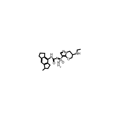 CCNC1COc2c(S(N)(=O)=NC(=O)Nc3c4c(cc5c3CCC5C)CCC4)cnn2C1